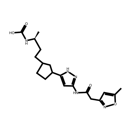 Cc1cc(CC(=O)Nc2cc(C3CCC(CC[C@H](C)NC(=O)O)C3)[nH]n2)no1